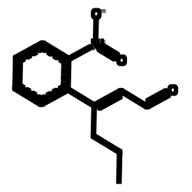 CCCC(=CC=O)c1ccccc1[N+](=O)[O-]